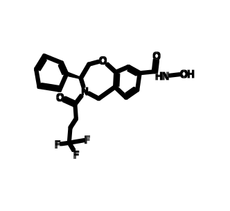 O=C(NO)c1ccc2c(c1)OC[C@H](c1ccccc1)N(C(=O)CCC(F)(F)F)C2